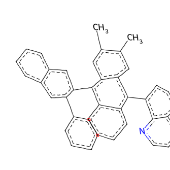 Cc1cc2c(-c3cc4ccccc4cc3-c3ccccc3)c3ccccc3c(-c3cccc4cccnc34)c2cc1C